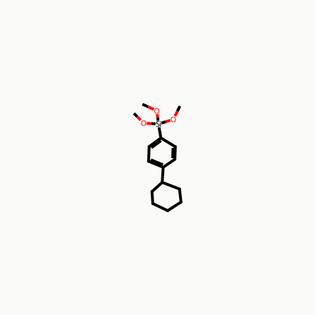 CO[Si](OC)(OC)c1ccc(C2CCCCC2)cc1